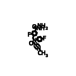 CCN1CCN(C(=O)N(Cc2ccc(C(=O)NN)cc2F)c2ccc(F)cc2)CC1